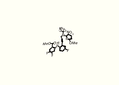 COC(=O)c1cc(F)c(F)cc1Nc1ccc(F)cc1C#CCN(C(=O)OC(C)(C)C)c1nc(OC)ccc1[N+](=O)[O-]